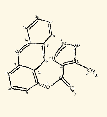 Cc1[nH]nnc1C(=O)O.c1ccc2cc3ccccc3cc2c1